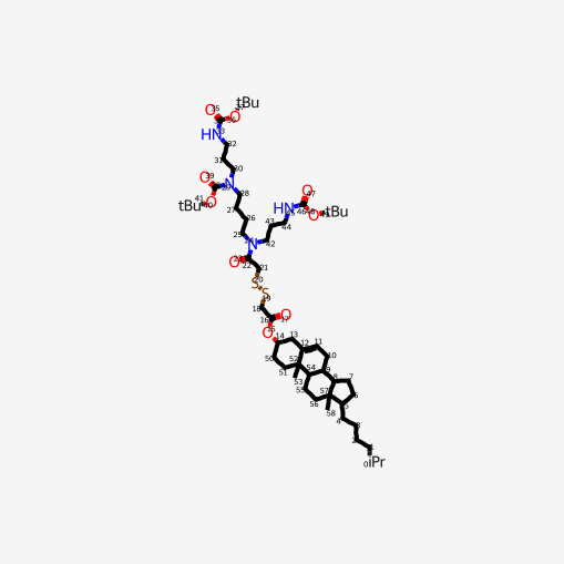 CC(C)CCCCC1CCC2C3CC=C4CC(OC(=O)CSSCC(=O)N(CCCCN(CCCNC(=O)OC(C)(C)C)C(=O)OC(C)(C)C)CCCNC(=O)OC(C)(C)C)CCC4(C)C3CCC12C